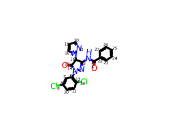 O=C(NC1=NN(c2cc(Cl)ccc2Cl)C(=O)C1n1cccn1)c1ccccc1